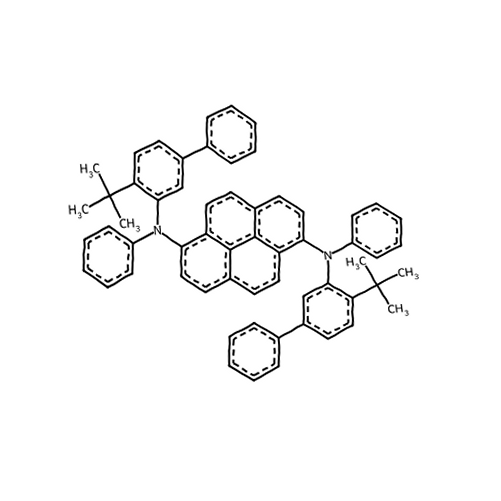 CC(C)(C)c1ccc(-c2ccccc2)cc1N(c1ccccc1)c1ccc2ccc3c(N(c4ccccc4)c4cc(-c5ccccc5)ccc4C(C)(C)C)ccc4ccc1c2c43